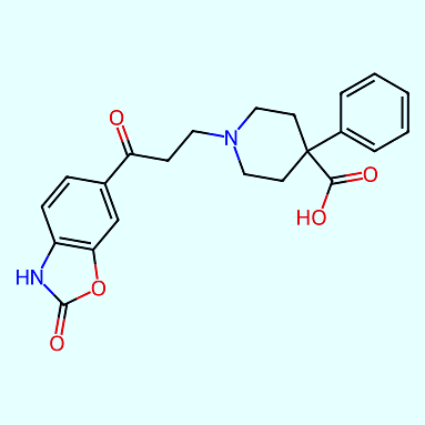 O=C(CCN1CCC(C(=O)O)(c2ccccc2)CC1)c1ccc2[nH]c(=O)oc2c1